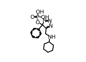 O=P(O)(O)OC1(c2ccccc2)N=NN=C1CNC1CCCCC1